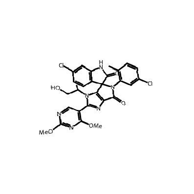 COc1ncc(-c2nc3c(n2C(C)CO)C2(C(=O)Nc4cc(Cl)ccc42)N(c2cc(Cl)ccc2C)C3=O)c(OC)n1